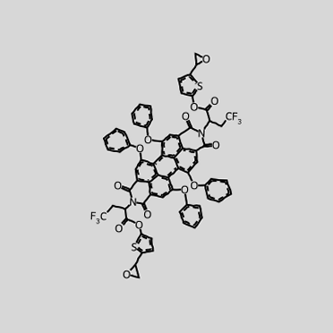 O=C(Oc1ccc(C2CO2)s1)C(CC(F)(F)F)N1C(=O)c2cc(Oc3ccccc3)c3c4c(Oc5ccccc5)cc5c6c(cc(Oc7ccccc7)c(c7c(Oc8ccccc8)cc(c2c37)C1=O)c64)C(=O)N(C(CC(F)(F)F)C(=O)Oc1ccc(C2CO2)s1)C5=O